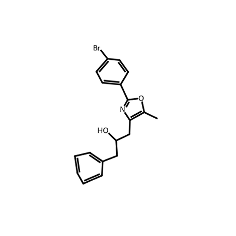 Cc1oc(-c2ccc(Br)cc2)nc1CC(O)Cc1ccccc1